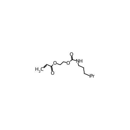 C=CC(=O)OCCOC(=O)NCCCC(C)C